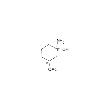 CC(=O)O[C@@H]1CCC[C@@](N)(O)C1